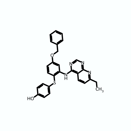 CCc1ccc2c(Nc3cc(OCc4ccccc4)ccc3Sc3ccc(O)cc3)ncnc2n1